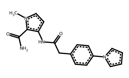 Cn1ccc(NC(=O)Cc2ccc(-n3cccc3)cc2)c1C(N)=O